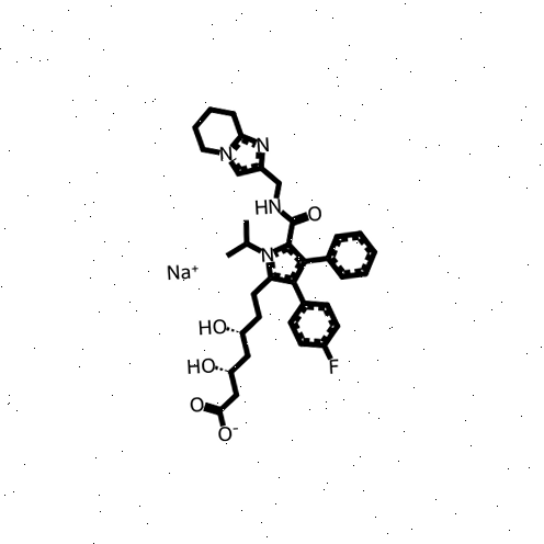 CC(C)n1c(CC[C@@H](O)C[C@@H](O)CC(=O)[O-])c(-c2ccc(F)cc2)c(-c2ccccc2)c1C(=O)NCc1cn2c(n1)CCCC2.[Na+]